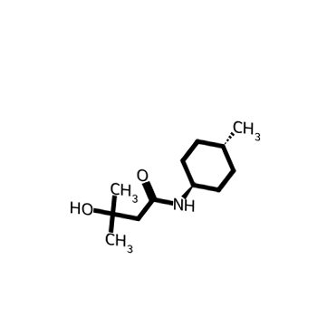 CC(C)(O)CC(=O)N[C@H]1CC[C@H](C)CC1